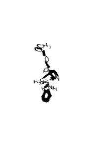 COCCOCCOc1ccnc(C[S+]([O-])c2nc3ccccc3[nH]2)c1C